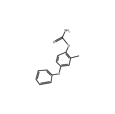 Cc1cc(Oc2ccccc2)ccc1OC(N)=O